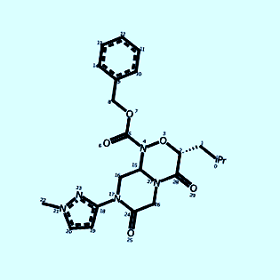 CC(C)C[C@H]1ON(C(=O)OCc2ccccc2)C2CN(c3ccn(C)n3)C(=O)CN2C1=O